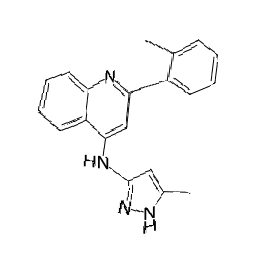 Cc1cc(Nc2cc(-c3ccccc3C)nc3ccccc23)n[nH]1